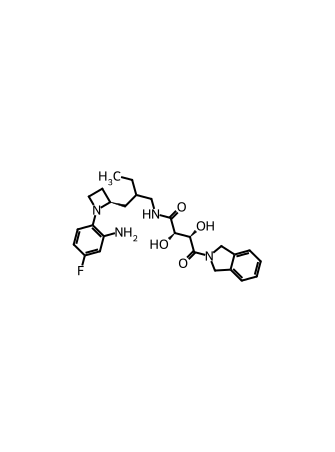 CCC(CNC(=O)[C@H](O)[C@@H](O)C(=O)N1Cc2ccccc2C1)C[C@@H]1CCN1c1ccc(F)cc1N